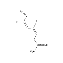 C=C/C(F)=C\C(F)=C/CC(=N)N